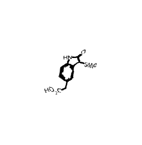 CSC1C(=O)Nc2ccc(CC(=O)O)cc21